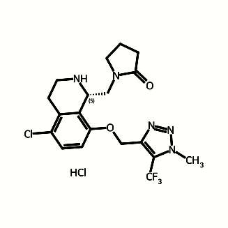 Cl.Cn1nnc(COc2ccc(Cl)c3c2[C@@H](CN2CCCC2=O)NCC3)c1C(F)(F)F